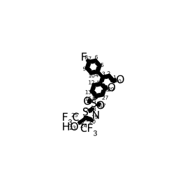 O=c1cc(-c2ccc(F)cc2)c2ccc(S(=O)(=O)c3ncc(C(O)(C(F)(F)F)C(F)(F)F)s3)cc2o1